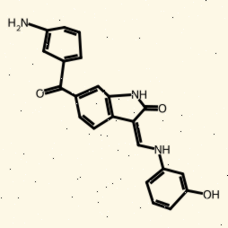 Nc1cccc(C(=O)c2ccc3c(c2)NC(=O)C3=CNc2cccc(O)c2)c1